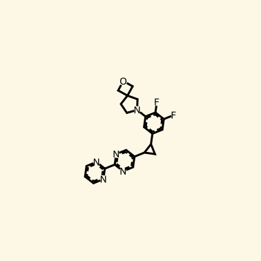 Fc1cc(C2CC2c2cnc(-c3ncccn3)nc2)cc(N2CCC3(COC3)C2)c1F